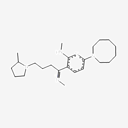 C/N=C(/CCCN1CCCC1C)c1ccc(N2CCCCCCC2)nc1NC